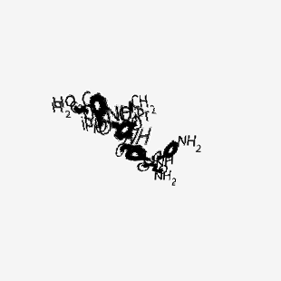 C=CCOc1c(C(=O)O)ccc(NC(=O)c2ccc(NC(=O)c3ccc(NC(=O)C(CC(N)=O)NC(=O)c4ccc(N)cc4)cc3)c(OC(C)C)c2OCC=C)c1OC(C)C